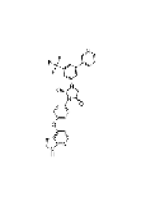 O=C1CN(c2cc(-c3cccnc3)cc(C(F)(F)F)c2)C(=O)N1c1ccc(Oc2ccnc3[nH]ccc23)cc1